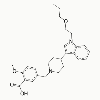 CCCOCCn1cc(C2CCN(Cc3ccc(OC)c(C(=O)O)c3)CC2)c2ccccc21